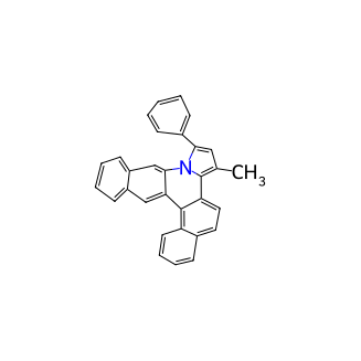 Cc1cc(-c2ccccc2)n2c3cc4ccccc4cc3c3c4ccccc4ccc3c12